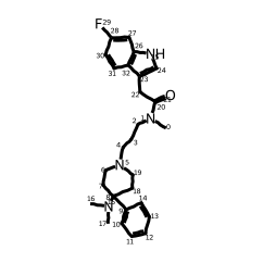 CN(CCCN1CCC(c2ccccc2)(N(C)C)CC1)C(=O)Cc1c[nH]c2cc(F)ccc12